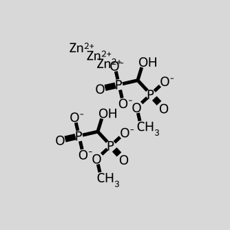 COP(=O)([O-])C(O)P(=O)([O-])[O-].COP(=O)([O-])C(O)P(=O)([O-])[O-].[Zn+2].[Zn+2].[Zn+2]